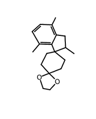 Cc1ccc(C)c2c1CC(C)C21CCC2(CC1)OCCO2